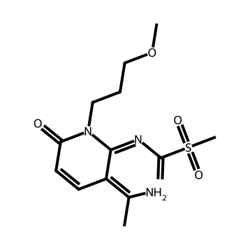 C=C(/N=C1\C(=C(\C)N)C=CC(=O)N1CCCOC)S(C)(=O)=O